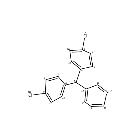 Clc1ccc(C(c2ccc(Cl)cc2)c2cccnc2)cc1